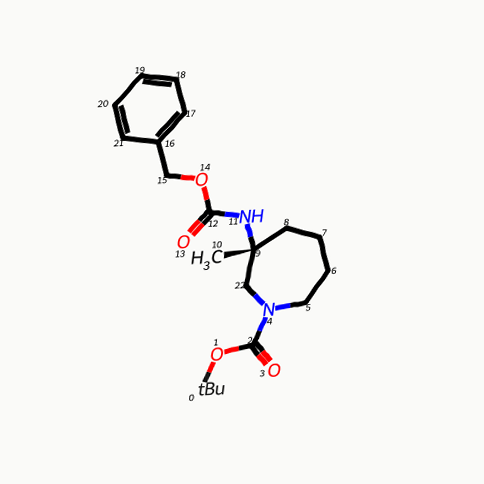 CC(C)(C)OC(=O)N1CCCC[C@@](C)(NC(=O)OCc2ccccc2)C1